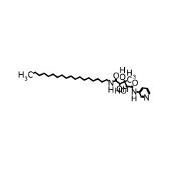 CCCCCCCCCCCCCCCCCCNC(=O)C(O)C(C)(O)C(O)C(=O)Nc1cccnc1